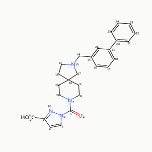 O=C(O)c1ccn(C(=O)N2CCC3(CCN(Cc4cccc(-c5ccccc5)c4)C3)CC2)n1